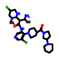 CN1CC(F)CNC1C(C(=O)Nc1cncc(F)c1N1CCC(C(=O)N2CCC(N3CCCCC3)C2)CC1)C(N)N=O